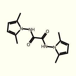 Cc1ccc(C)n1NC(=O)C(=O)Nn1c(C)ccc1C